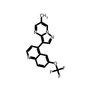 Cc1cnc2c(-c3ccnc4ccc(OC(F)(F)F)cc34)cnn2c1